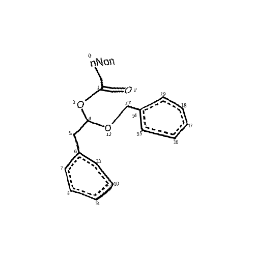 CCCCCCCCCC(=O)OC(Cc1ccccc1)OCc1ccccc1